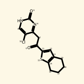 O=C(Cc1nc(=O)[nH]cc1Cl)c1cc2c(s1)CCCC2